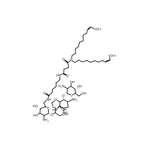 CCCCCCCC/C=C\CCCCCCCCN(CCCCCCCC/C=C\CCCCCCCC)C(=O)CCC(=O)NCCCCCC(=O)NCC1O[C@H](OC(CO)[C@@H](CO)OCOC2C(O)[C@H](N)CC(N)[C@H]2O[C@H]2OC(CO)[C@@H](O)C(O)C2N)C(N)C(O)[C@@H]1O